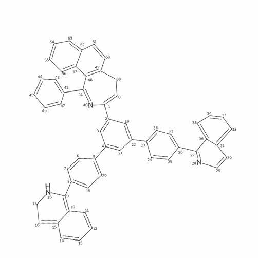 C1=C(c2cc(-c3ccc(C4=c5ccccc5=CCN4)cc3)cc(-c3ccc(-c4nccc5ccccc45)cc3)c2)N=C(c2ccccc2)c2c(ccc3ccccc23)C1